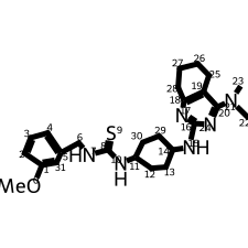 COc1cccc(CNC(=S)NC2CCC(Nc3nc4c(c(N(C)C)n3)CCCC4)CC2)c1